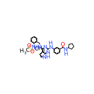 CN(c1ccccc1CNc1nc(Nc2cccc(C(=O)NC3CCCC3)c2)nc2[nH]ccc12)S(C)(=O)=O